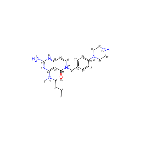 CCCCN(C)c1nc(N)nc2ccn(Cc3ccc(N4CCNCC4)cc3)c(=O)c12